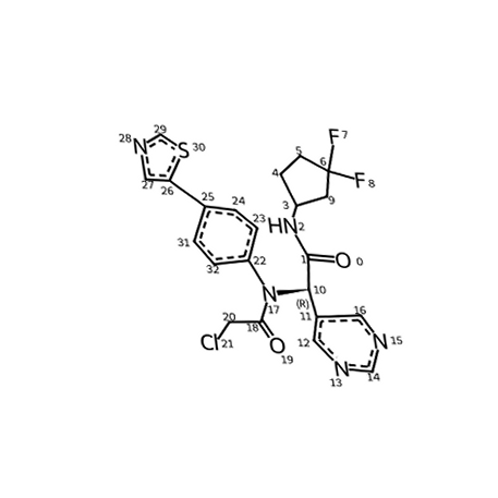 O=C(NC1CCC(F)(F)C1)[C@@H](c1cncnc1)N(C(=O)CCl)c1ccc(-c2cncs2)cc1